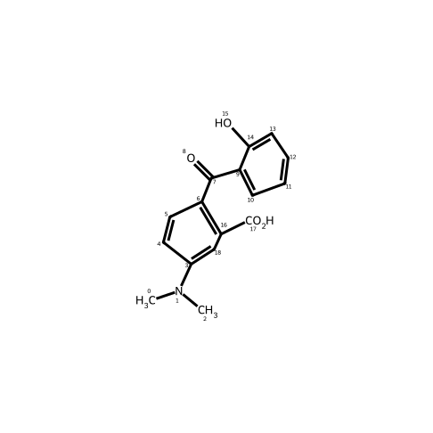 CN(C)c1ccc(C(=O)c2ccccc2O)c(C(=O)O)c1